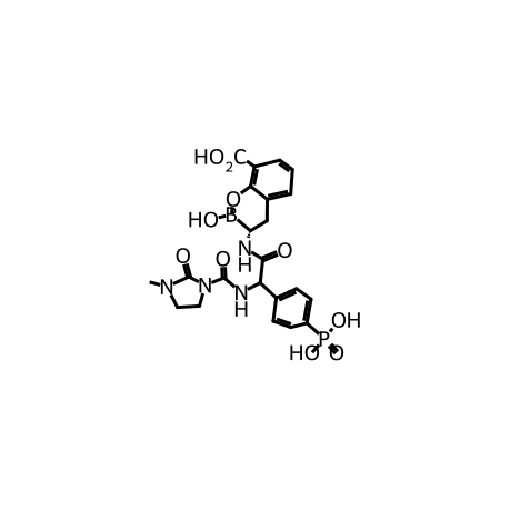 CN1CCN(C(=O)NC(C(=O)N[C@H]2Cc3cccc(C(=O)O)c3OB2O)c2ccc(P(=O)(O)O)cc2)C1=O